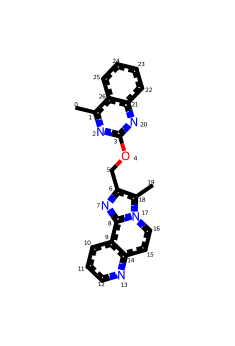 Cc1nc(OCc2nc3c4cccnc4ccn3c2C)nc2ccccc12